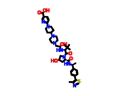 Cc1ncsc1-c1ccc([C@H](C)NC(=O)[C@@H]2C[C@@H](O)CN2C(=O)[C@@H](NC(O)CN2CCN(C3CCN(c4ccc(C(=O)O)cn4)CC3)CC2)C(C)(C)C)cc1